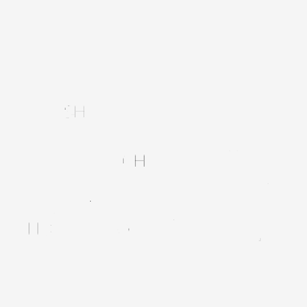 [C]#Cc1cccc(OC(C)(C)CS)c1